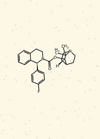 CC1(C)[C@@H](OC(=O)N2CCc3ccccc3[C@@H]2c2ccc(F)cc2)C2CCN1CC2